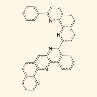 c1ccc(-c2ccc3ccc4ccc(-c5nc6cc7ccc8cccnc8c7nc6c6ccccc56)nc4c3n2)cc1